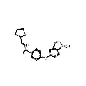 O=C(NCC1CCCO1)c1ccc(Oc2ccc3c(c2)COB3O)cc1